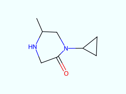 CC1CN(C2CC2)C(=O)CN1